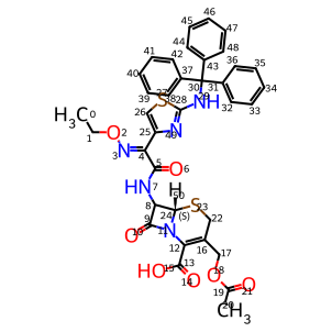 CCON=C(C(=O)NC1C(=O)N2C(C(=O)O)=C(COC(C)=O)CS[C@@H]12)c1csc(NC(c2ccccc2)(c2ccccc2)c2ccccc2)n1